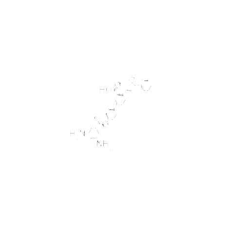 Nc1cc(N)cc(C(=O)Oc2ccc(-c3ccc(C=CC(=O)c4ccccc4)c(C(=O)O)c3)cc2)c1